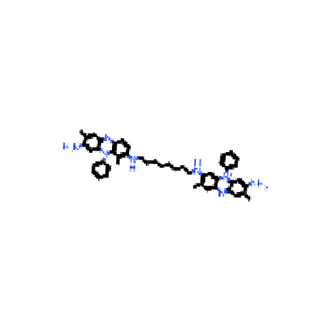 CC1=CC2=Nc3ccc(NCCCCCCCCNc4cc5c(cc4C)nc4cc(C)c(N)cc4[n+]5-c4ccccc4)c(C)c3N(c3ccccc3)C2C=C1N